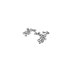 COc1cccc(F)c1-c1nccc(C(=O)Nc2ccc(-c3cnccc3C#N)cc2N2CCN(CC(=O)NCCCCNc3ccc4c(c3)C(=O)N(C3CCC(=O)NC3=O)C4=O)CC2)n1